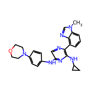 Cn1cnc2c(-c3ncc(Nc4ccc(N5CCOCC5)cc4)nc3NC3CC3)cccc21